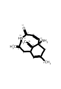 C=C1CC2C=C(C)CC(N)(/C=C\C(=O)N1)/C2=C/C